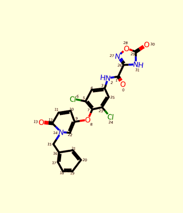 O=C(Nc1cc(Cl)c(Oc2ccc(=O)n(Cc3ccccc3)c2)c(Cl)c1)c1noc(=O)[nH]1